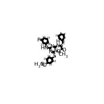 COC(=O)[C@H](Cc1ccccc1)Nc1nc(Nc2cccc(F)c2)nc(Sc2ccc(OC)cc2)n1